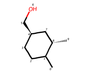 CC1CC[C@@H](CO)C[C@@H]1C